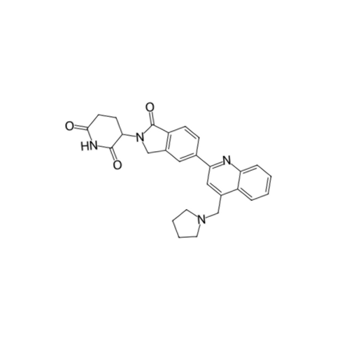 O=C1CCC(N2Cc3cc(-c4cc(CN5CCCC5)c5ccccc5n4)ccc3C2=O)C(=O)N1